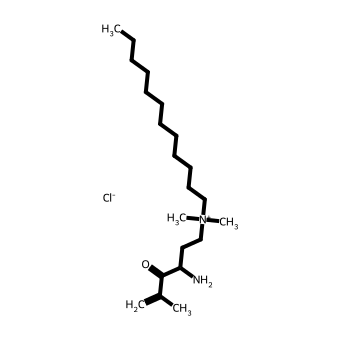 C=C(C)C(=O)C(N)CC[N+](C)(C)CCCCCCCCCCCC.[Cl-]